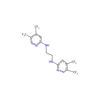 FC(F)(F)c1cnc(NCCNc2cc(C(F)(F)F)c(C(F)(F)F)cn2)cc1C(F)(F)F